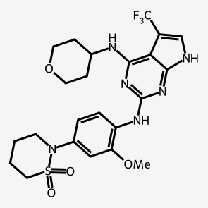 COc1cc(N2CCCCS2(=O)=O)ccc1Nc1nc(NC2CCOCC2)c2c(C(F)(F)F)c[nH]c2n1